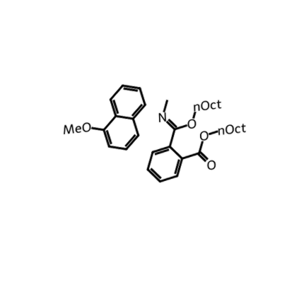 CCCCCCCCOC(=O)c1ccccc1C(=NC)OCCCCCCCC.COc1cccc2ccccc12